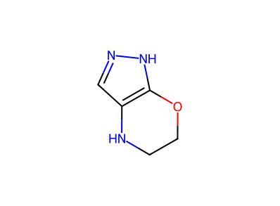 c1n[nH]c2c1NCCO2